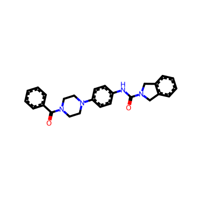 O=C(Nc1ccc(N2CCN(C(=O)c3ccccc3)CC2)cc1)N1Cc2ccccc2C1